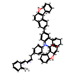 C=c1cccc/c1=C/C=C\Cc1ccc(N(c2ccc(-c3ccc4c(ccc5oc6ccccc6c54)c3)cc2C2=CCCC=C2)c2cccc3oc4ccccc4c23)cc1